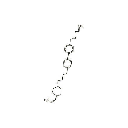 C=CCOCc1ccc(-c2ccc(CCCC[C@H]3CC[C@H](/C=C\C)CC3)cc2)cc1